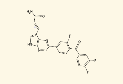 NC(=O)/C=C/c1c[nH]c2ncc(-c3ccc(C(=O)c4ccc(F)c(F)c4)c(F)c3)nc12